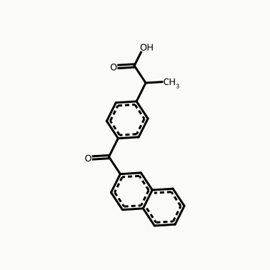 CC(C(=O)O)c1ccc(C(=O)c2ccc3ccccc3c2)cc1